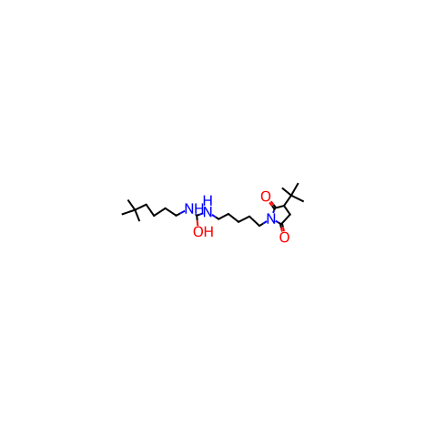 CC(C)(C)CCCCNC(O)NCCCCCN1C(=O)CC(C(C)(C)C)C1=O